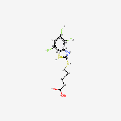 O=C(O)CCCCSc1nc2c(F)c(F)cc(F)c2s1